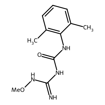 CONC(=N)NC(=O)Nc1c(C)cccc1C